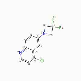 FC1(F)CN(c2ccc3nccc(Cl)c3c2)C1